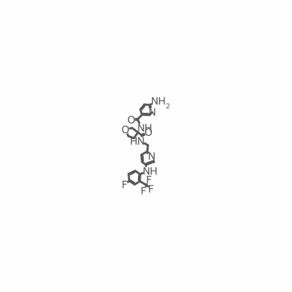 Nc1ccc(C(=O)N[C@@]2(C(=O)NCc3ccc(Nc4ccc(F)cc4C(F)(F)F)cn3)CCOC2)cn1